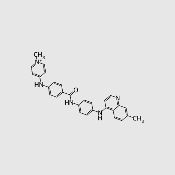 Cc1ccc2c(Nc3ccc(NC(=O)c4ccc(Nc5cc[n+](C)cc5)cc4)cc3)ccnc2c1